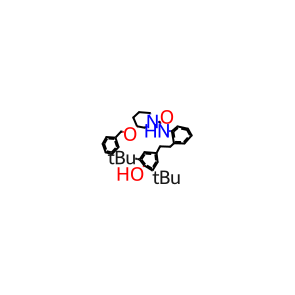 CC(C)(C)c1cc(CCc2ccccc2NC(=O)N2CCCC(OCc3ccccc3)C2)cc(C(C)(C)C)c1O